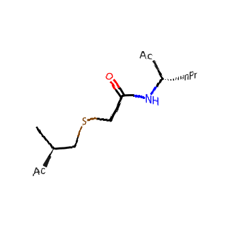 CCC[C@H](NC(=O)CSC[C@H](C)C(C)=O)C(C)=O